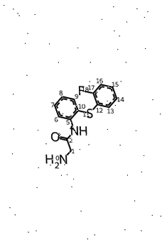 NCC(=O)Nc1ccccc1Sc1ccccc1F